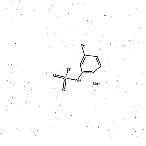 CCc1cccc(NS(=O)(=O)[O-])c1.[Na+]